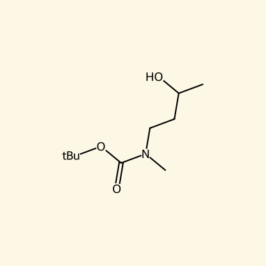 CC(O)CCN(C)C(=O)OC(C)(C)C